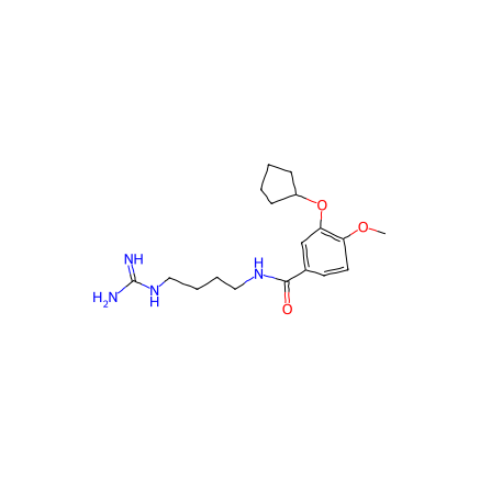 COc1ccc(C(=O)NCCCCNC(=N)N)cc1OC1CCCC1